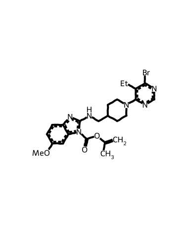 C=C(C)OC(=O)n1c(NCC2CCN(c3ncnc(Br)c3CC)CC2)nc2ccc(OC)cc21